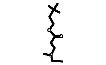 CCN(C)CCC(=O)OCCC(C)(C)C